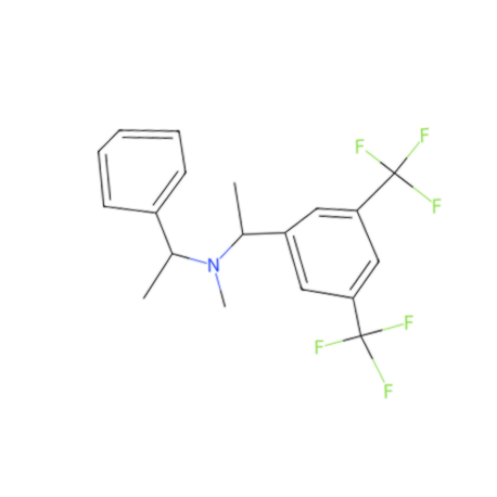 CC(c1ccccc1)N(C)C(C)c1cc(C(F)(F)F)cc(C(F)(F)F)c1